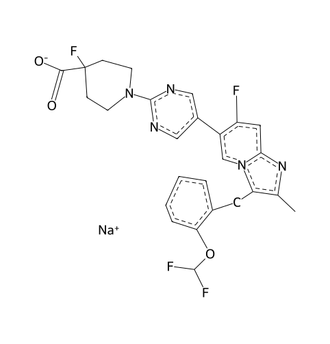 Cc1nc2cc(F)c(-c3cnc(N4CCC(F)(C(=O)[O-])CC4)nc3)cn2c1Cc1ccccc1OC(F)F.[Na+]